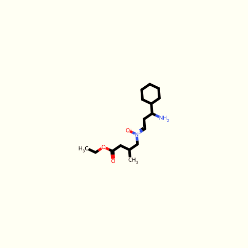 CCOC(=O)CC(C)C/[N+]([O-])=C/CC(N)C1CCCCC1